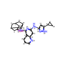 OC12CC3CC(C1)C(Nc1nc(Nc4cc(C5CC5)[nH]n4)cc4ncccc14)C(C3)C2